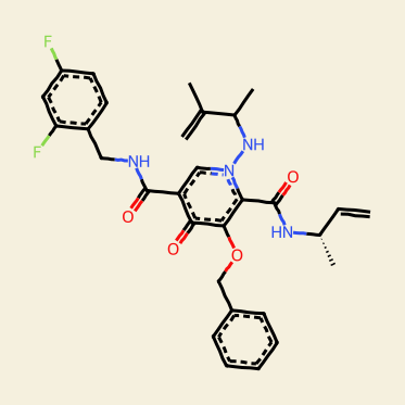 C=C[C@H](C)NC(=O)c1c(OCc2ccccc2)c(=O)c(C(=O)NCc2ccc(F)cc2F)cn1NC(C)C(=C)C